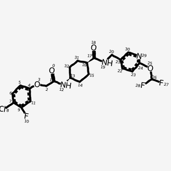 O=C(COc1ccc(Cl)c(F)c1)N[C@H]1CC[C@H](C(=O)NCc2ccc(OC(F)F)nc2)CC1